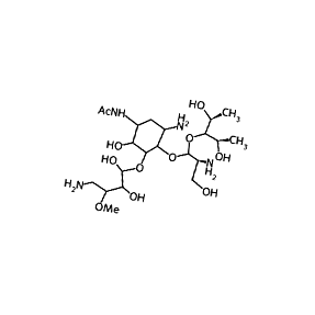 COC(CN)C(O)C(O)OC1C(O)C(NC(C)=O)CC(N)C1OC(OC([C@H](C)O)[C@@H](C)O)[C@@H](N)CO